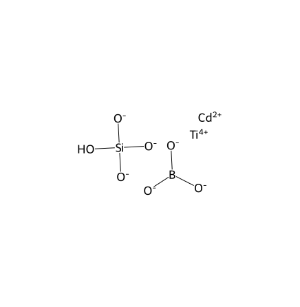 [Cd+2].[O-]B([O-])[O-].[O-][Si]([O-])([O-])O.[Ti+4]